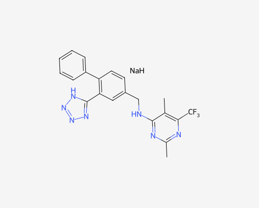 Cc1nc(NCc2ccc(-c3ccccc3)c(-c3nnn[nH]3)c2)c(C)c(C(F)(F)F)n1.[NaH]